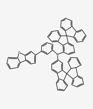 C1=CC2c3ccccc3C3(c4ccccc4-c4ccc(N(c5cccc(-c6ccc7c(c6)oc6ccccc67)c5)c5cccc6c5-c5ccccc5C65c6ccccc6-c6ccccc65)cc43)C2C=C1